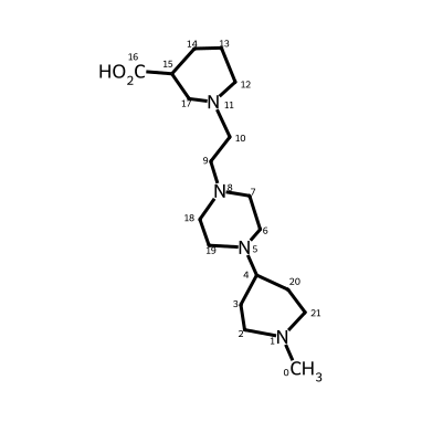 CN1CCC(N2CCN(CCN3CCCC(C(=O)O)C3)CC2)CC1